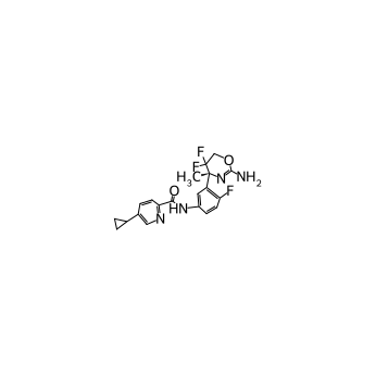 C[C@]1(c2cc(NC(=O)c3ccc(C4CC4)cn3)ccc2F)N=C(N)OCC1(F)F